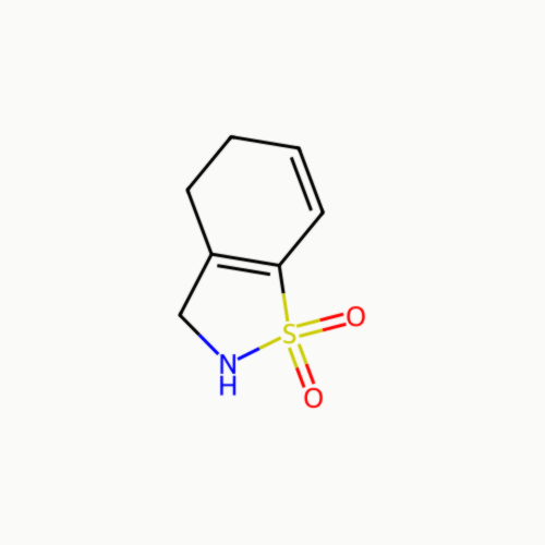 O=S1(=O)NCC2=C1C=CCC2